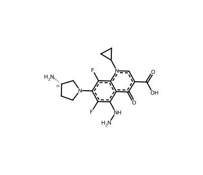 NNc1c(F)c(N2CC[C@H](N)C2)c(F)c2c1c(=O)c(C(=O)O)cn2C1CC1